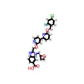 O=C(O)c1ccc2nc(COc3cc(-c4cccc(OCc5ccc(Cl)cc5F)n4)ccn3)n(C[C@@H]3CCO3)c2c1